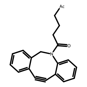 CC(=O)CCCC(=O)N1Cc2ccccc2C#Cc2ccccc21